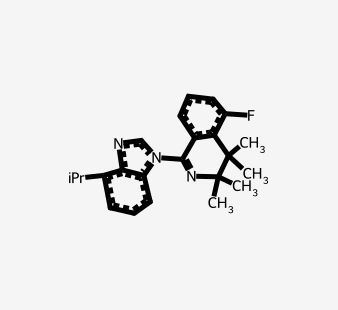 CC(C)c1cccc2c1ncn2C1=NC(C)(C)C(C)(C)c2c(F)cccc21